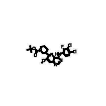 COc1cc2ncnc(Nc3ccc(Cl)c(Cl)c3F)c2nc1C1CCCN(C(=O)OC(C)(C)C)C1